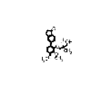 COc1ccc(-c2ccc3c(c2)CCC3=O)c(OCC(C)(C)CO)c1OC